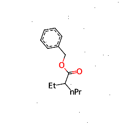 CCCC(CC)C(=O)OCc1ccccc1